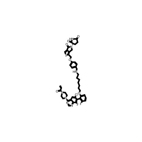 C=CC(=O)N1CCN(c2ncnc3c(F)c(-c4c(F)cccc4OCCCCCCCNCc4ccc(OCc5scc6c5CN([C@H]5CCC(=O)NC5=O)C6=O)cc4)c(Cl)cc23)CC1